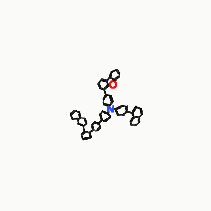 c1ccc(-c2ccc3ccccc3c2)c(-c2ccc(-c3ccc(N(c4ccc(-c5cccc6ccccc56)cc4)c4ccc(-c5cccc6c5oc5ccccc56)cc4)cc3)cc2)c1